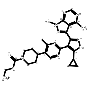 Cc1nc(-c2c(-c3nn(C(C)(C)C)c4ncnc(N)c34)noc2C2CC2)ncc1C1CCN(C(=O)OCC(=O)O)CC1